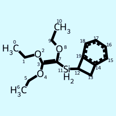 CCOC(OCC)=C(OCC)[SiH2]C1Cc2ccccc21